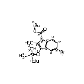 Cc1c(O[Si](C)(C)C(C)(C)C)c2cc(Br)ccc2n1C(=O)OC(C)(C)C